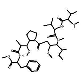 CCC(C)C(C(CC(=O)N1CCCC1C(OC)C(C)C(=S)NC(Cc1ccccc1)C(=O)OC)OC)N(C)C(=O)C(NC(=O)C(NC)C(C)C)C(C)C